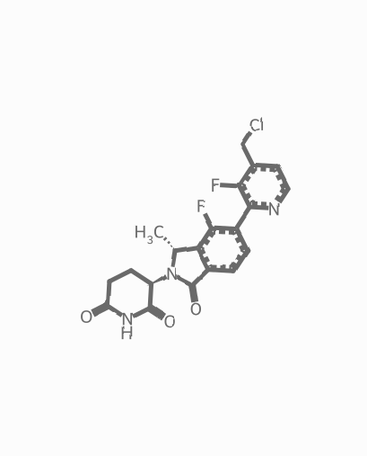 C[C@@H]1c2c(ccc(-c3nccc(CCl)c3F)c2F)C(=O)N1[C@@H]1CCC(=O)NC1=O